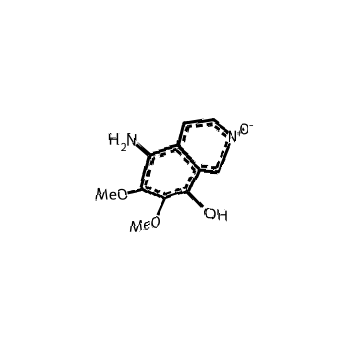 COc1c(OC)c(O)c2c[n+]([O-])ccc2c1N